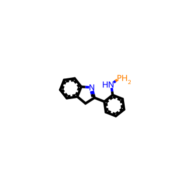 PNc1ccccc1C1=Nc2ccccc2C1